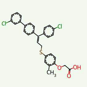 Cc1cc(SCC=C(c2ccc(Cl)cc2)c2ccc(-c3cccc(Cl)c3)cc2)ccc1OCC(=O)O